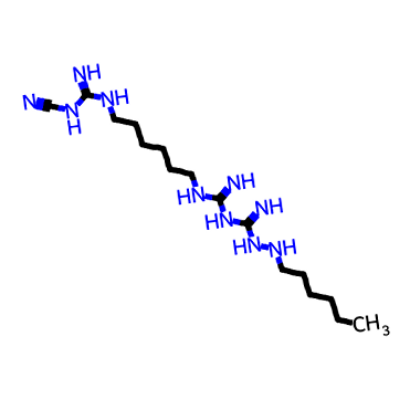 CCCCCCNNC(=N)NC(=N)NCCCCCCNC(=N)NC#N